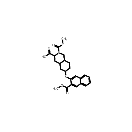 COC(=O)c1cc2ccccc2cc1SC1CCC2CN(C(=O)OC)C(C(=O)O)CC2C1